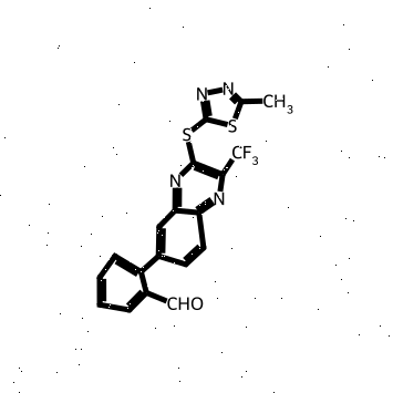 Cc1nnc(Sc2nc3cc(-c4ccccc4C=O)ccc3nc2C(F)(F)F)s1